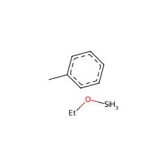 CCO[SiH3].Cc1ccccc1